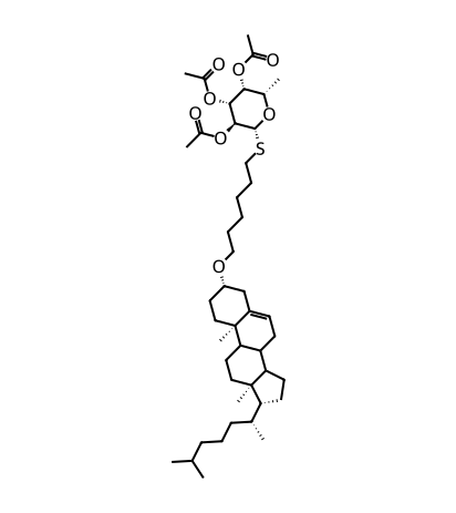 CC(=O)O[C@@H]1[C@H](OC(C)=O)[C@H](C)O[C@H](SCCCCCCO[C@H]2CC[C@@]3(C)C(=CCC4C3CC[C@@]3(C)C4CC[C@@H]3[C@H](C)CCCC(C)C)C2)[C@H]1OC(C)=O